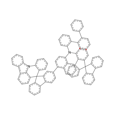 c1ccc(-c2ccccc2-c2ccccc2N(c2cccc3c2-c2ccccc2C32c3ccccc3-c3ccccc32)c2ccc(-c3ccc4c(c3)C3(c5ccccc5-4)c4ccccc4-n4c5ccccc5c5cccc3c54)c3ccccc23)cc1